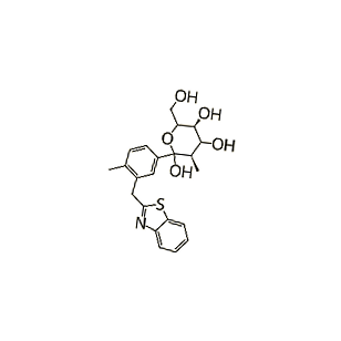 Cc1ccc(C2(O)OC(CO)[C@@H](O)C(O)[C@H]2C)cc1Cc1nc2ccccc2s1